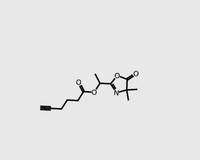 C#CCCCC(=O)OC(C)C1=NC(C)(C)C(=O)O1